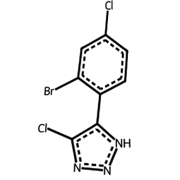 Clc1ccc(-c2[nH]nnc2Cl)c(Br)c1